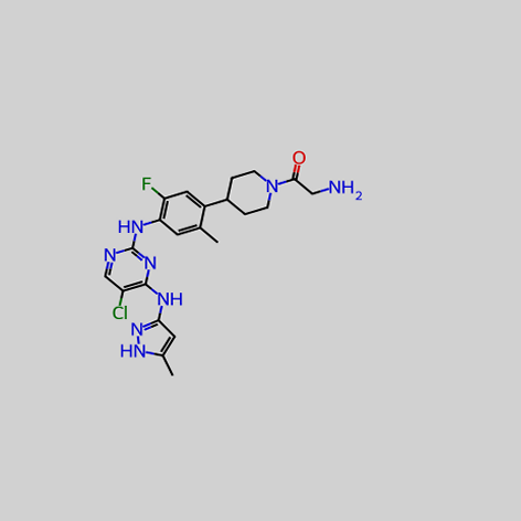 Cc1cc(Nc2nc(Nc3cc(C)c(C4CCN(C(=O)CN)CC4)cc3F)ncc2Cl)n[nH]1